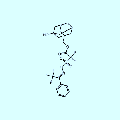 O=C(OCC12CC3CC(CC(O)(C3)C1)C2)C(F)(F)S(=O)(=O)O/N=C(/c1ccccc1)C(F)(F)F